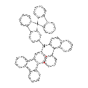 c1ccc(-c2c(N(c3ccc4c(c3)C3(c5ccccc5-c5ccccc53)c3ccccc3-4)c3ccc4c5ccccc5c5ccccc5c4c3)ccc3ccccc23)cc1